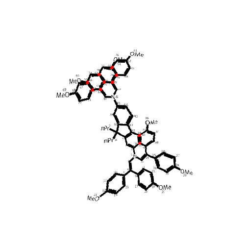 CCCC1(CCC)c2cc(N(C=C(c3ccc(OC)cc3)c3ccc(OC)cc3)C=C(c3ccc(OC)cc3)c3ccc(OC)cc3)ccc2-c2ccc(N(C=C(c3ccc(OC)cc3)c3ccc(OC)cc3)C=C(c3ccc(OC)cc3)c3ccc(OC)cc3)cc21